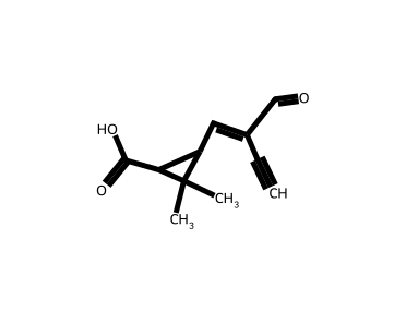 C#C/C(C=O)=C\C1C(C(=O)O)C1(C)C